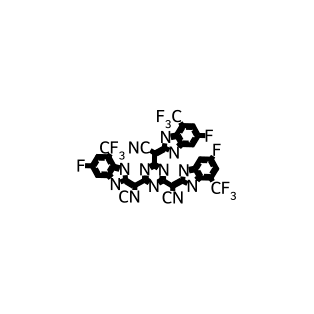 N#CC(=C1N=c2cc(F)cc(C(F)(F)F)c2=N1)c1nc(C(C#N)=C2N=c3cc(F)cc(C(F)(F)F)c3=N2)nc(C(C#N)=C2N=c3cc(F)cc(C(F)(F)F)c3=N2)n1